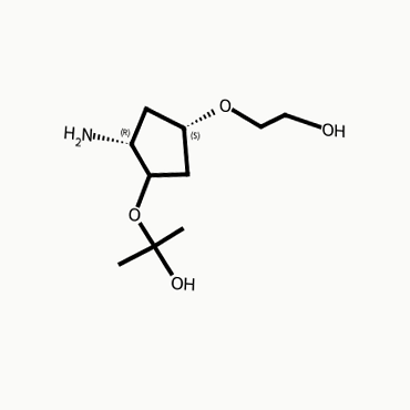 CC(C)(O)OC1C[C@@H](OCCO)C[C@H]1N